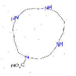 O=C(O)N1CCCNCCNCCCNCC1